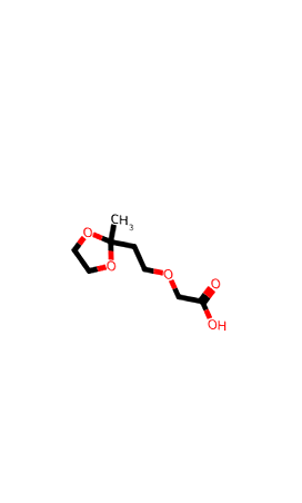 CC1(CCOCC(=O)O)OCCO1